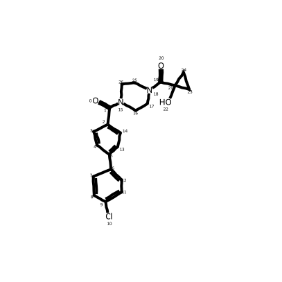 O=C(c1ccc(-c2ccc(Cl)cc2)cc1)N1CCN(C(=O)C2(O)CC2)CC1